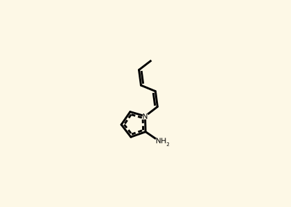 C/C=C\C=C/n1cccc1N